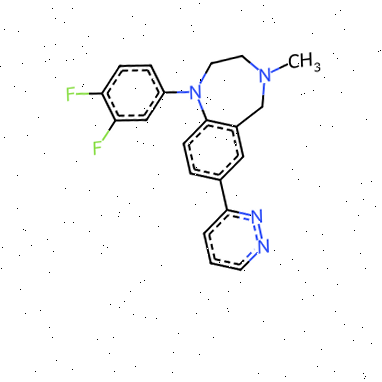 CN1CCN(c2ccc(F)c(F)c2)c2ccc(-c3cccnn3)cc2C1